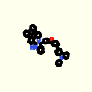 c1ccc(-n2c3ccccc3c3cc(-c4ccc5oc6ccc(C7NC(c8cccc9c8-c8ccccc8C98c9ccccc9-c9ccccc98)Nc8ccccc87)cc6c5c4)ccc32)cc1